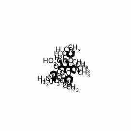 CC1C(OC(=O)C(CC(=O)O)C(C(=O)OC2CCN(C)C(C)(C)C2C)C(C(=O)OC2CCN(C)C(C)(C)C2C)C2CCN(C)C(C)(C)C2C)CCN(C)C1(C)C